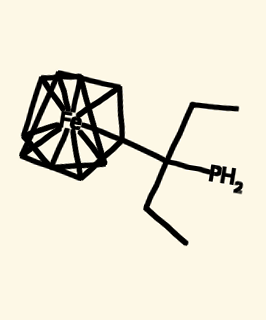 CCC(P)(CC)[C]12[CH]3[CH]4[CH]5[CH]1[Fe]45321678[CH]2[CH]1[CH]6[CH]7[CH]28